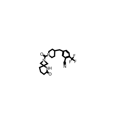 N#Cc1cc(CC2CCN(C(=O)N3CC4(CCCC(=O)N4)C3)CC2)ccc1C(F)(F)F